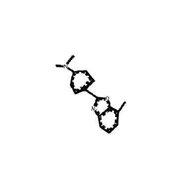 Cc1cccc2nc(-c3ccc(N(C)C)cc3)oc12